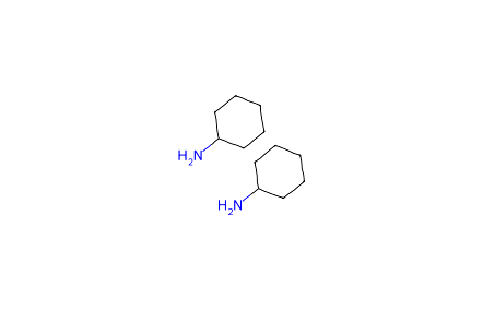 NC1CCCCC1.NC1CCCCC1